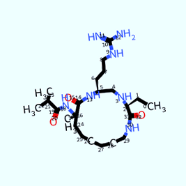 CC[C@@H]1NC[C@H](CCCNC(=N)N)NC(=O)[C@@](C)(NC(=O)C(C)C)CCCCCCNC1=O